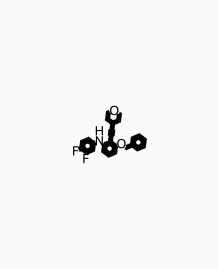 Fc1ccc(Nc2cccc(OCc3ccccc3)c2C#CC2CCOCC2)cc1F